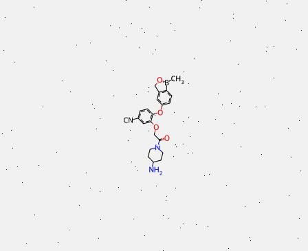 [C-]#[N+]c1ccc(Oc2ccc3c(c2)COB3C)c(OCC(=O)N2CCC(N)CC2)c1